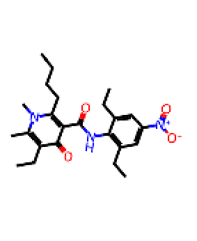 CCCCc1c(C(=O)Nc2c(CC)cc([N+](=O)[O-])cc2CC)c(=O)c(CC)c(C)n1C